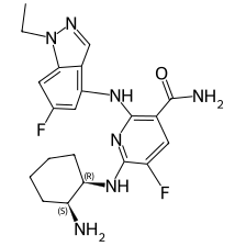 CCn1ncc2c(Nc3nc(N[C@@H]4CCCC[C@@H]4N)c(F)cc3C(N)=O)cc(F)cc21